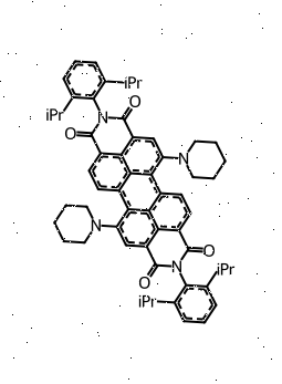 CC(C)c1cccc(C(C)C)c1N1C(=O)c2ccc3c4c(N5CCCCC5)cc5c6c(ccc(c7c(N8CCCCC8)cc(c2c37)C1=O)c64)C(=O)N(c1c(C(C)C)cccc1C(C)C)C5=O